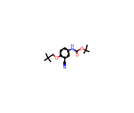 CC(C)(C)COc1ccc(NC(=O)OC(C)(C)C)cc1C#N